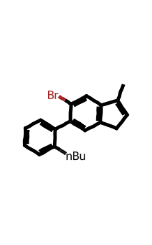 CCCCc1ccccc1-c1cc2c(cc1Br)C(C)=CC2